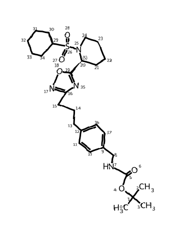 CC(C)(C)OC(=O)NCc1ccc(CCCc2noc([C@@H]3CCCCN3S(=O)(=O)C3CCCCC3)n2)cc1